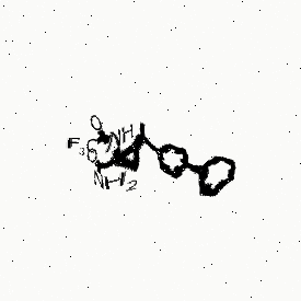 CC(c1ccc(-c2ccccc2)cc1)C1CC1(NC(=O)C(F)(F)F)C(N)=O